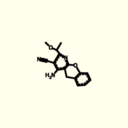 COC(C)c1nc2c(c(N)c1C#N)Cc1ccccc1O2